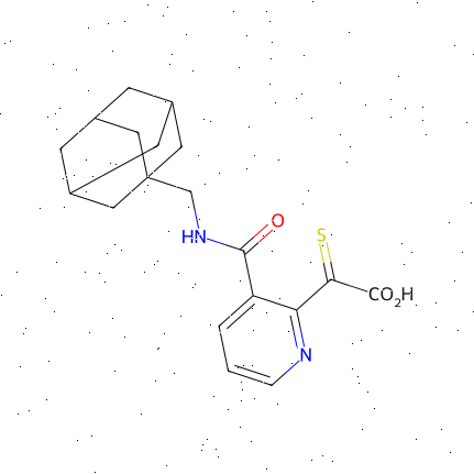 O=C(O)C(=S)c1ncccc1C(=O)NCC12CC3CC(CC(C3)C1)C2